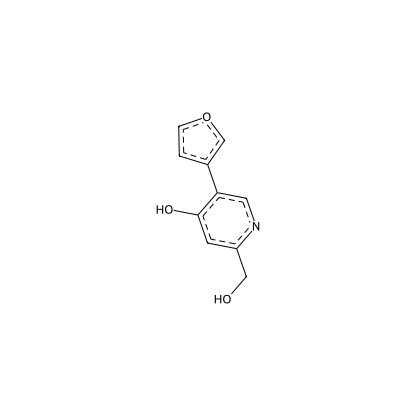 OCc1cc(O)c(-c2ccoc2)cn1